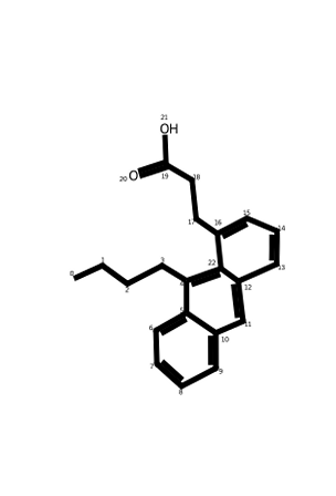 CCCCc1c2ccccc2cc2cccc(CCC(=O)O)c12